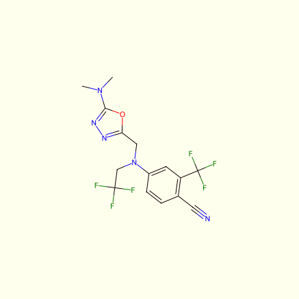 CN(C)c1nnc(CN(CC(F)(F)F)c2ccc(C#N)c(C(F)(F)F)c2)o1